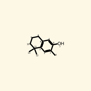 Cc1cc2c(cc1O)CCCC2(C)C